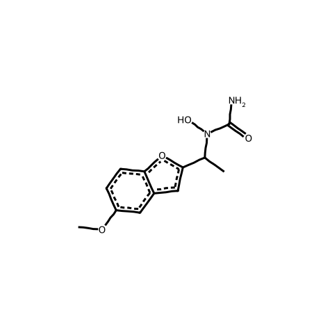 COc1ccc2oc(C(C)N(O)C(N)=O)cc2c1